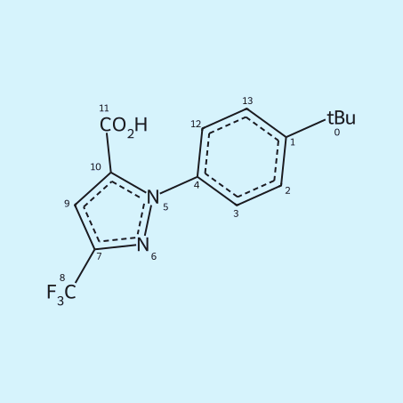 CC(C)(C)c1ccc(-n2nc(C(F)(F)F)cc2C(=O)O)cc1